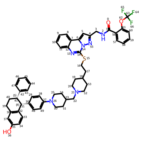 O=C(NCc1cc2c3ccccc3nc(SCCC3CCN(CC4CCN(c5ccc([C@@H]6c7ccc(O)cc7CC[C@@H]6c6ccccc6)cc5)CC4)CC3)n2n1)c1ccccc1OC(F)(F)F